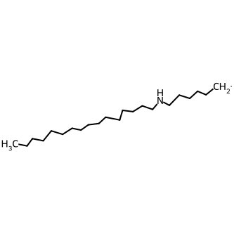 [CH2]CCCCCNCCCCCCCCCCCCCCCC